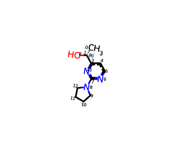 C[C@@H](O)c1ccnc(N2CCCC2)n1